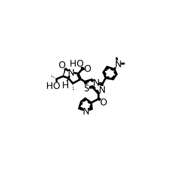 C[C@@H](O)[C@H]1C(=O)N2C(C(=O)O)=C(c3cn4c(-c5ccc(N(C)C)cc5)nc(C(=O)c5cccnc5)c4s3)[C@H](C)[C@H]12